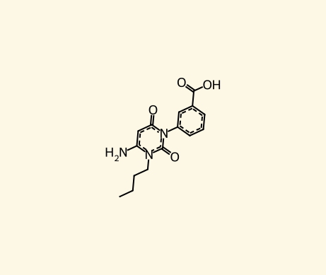 CCCCn1c(N)cc(=O)n(-c2cccc(C(=O)O)c2)c1=O